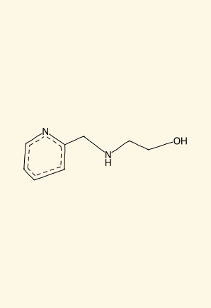 OCCNCc1ccccn1